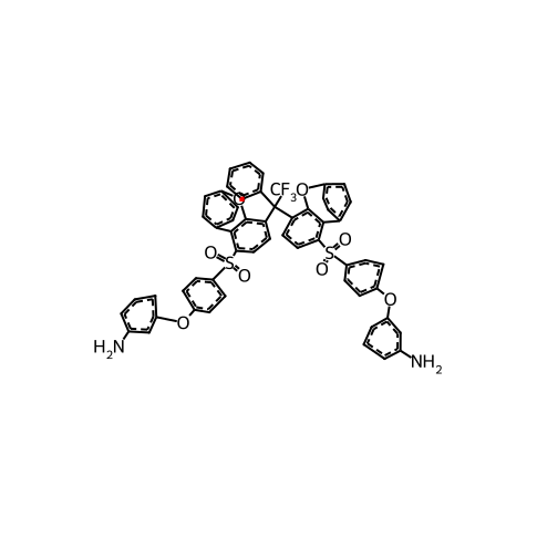 Nc1cccc(Oc2ccc(S(=O)(=O)c3ccc(C(c4ccccc4)(c4ccc(S(=O)(=O)c5ccc(Oc6cccc(N)c6)cc5)c5c4Oc4ccc-5cc4)C(F)(F)F)c4c3-c3ccc(cc3)O4)cc2)c1